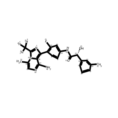 [2H]C([2H])([2H])c1nc(-c2ccc(NC(=O)[C@H](O)c3cccc(C)c3)cc2F)c2c(N)ncc(C)n12